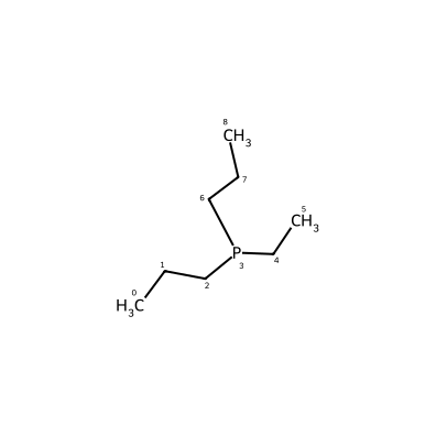 CCCP(CC)CCC